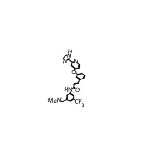 CNCc1cc(NC(=O)C=Cc2cccc(Oc3ccnc(C4=NCCN4)c3)c2)cc(C(F)(F)F)c1